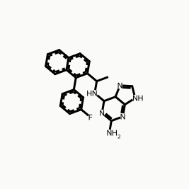 CC(NC1N=C(N)N=C2NC=NC21)c1ccc2ccccc2c1-c1cccc(F)c1